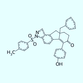 Cc1ccc(S(=O)(=O)n2ncc3c4c(ccc32)C2=C(c3ccc(O)cc3)C(=O)CCC2(Cc2ccccc2)C4)cc1